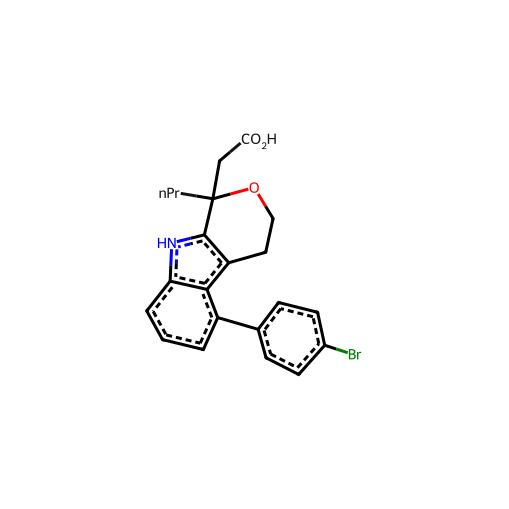 CCCC1(CC(=O)O)OCCc2c1[nH]c1cccc(-c3ccc(Br)cc3)c21